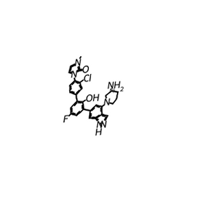 Cn1ccn(-c2ccc(-c3cc(F)cc(-c4cc(N5CCC[C@@H](N)C5)c5cn[nH]c5c4)c3O)cc2Cl)c1=O